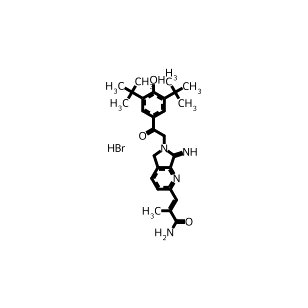 Br.C/C(=C\c1ccc2c(n1)C(=N)N(CC(=O)c1cc(C(C)(C)C)c(O)c(C(C)(C)C)c1)C2)C(N)=O